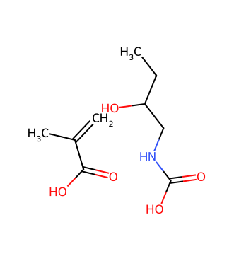 C=C(C)C(=O)O.CCC(O)CNC(=O)O